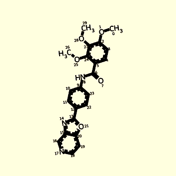 COc1ccc(C(=O)Nc2ccc(-c3nc4cnccc4o3)cc2)c(OC)c1OC